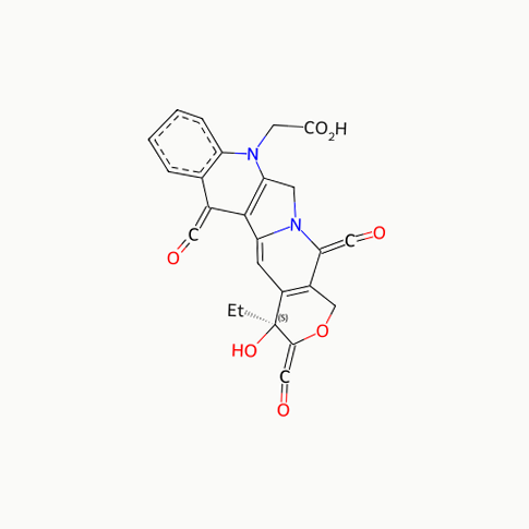 CC[C@@]1(O)C(=C=O)OCC2=C1C=C1C3=C(CN1C2=C=O)N(CC(=O)O)c1ccccc1C3=C=O